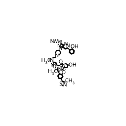 CNc1nn(C2CCN(CCN(C)c3cc(C(C(=O)N4C[C@H](O)C[C@H]4C(=O)N[C@@H](C)c4ccc(-c5scnc5C)cc4)C(C)C)on3)CC2)c2cc(-c3ccccc3O)nnc12